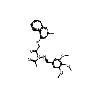 COc1cc(/C=N/N(C(C)=O)C(=O)CSc2cc(C)nc3ccccc23)cc(OC)c1OC